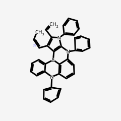 C=Cc1c(/C=C\C)c2c(n1-c1ccccc1)N(c1ccccc1)c1cccc3c1B2c1ccccc1N3c1ccccc1